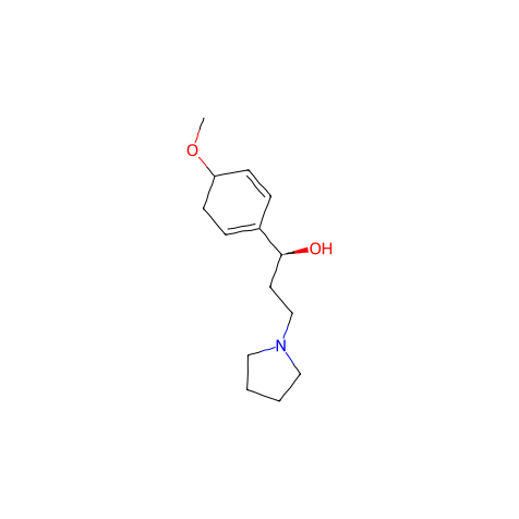 COC1C=CC([C@@H](O)CCN2CCCC2)=CC1